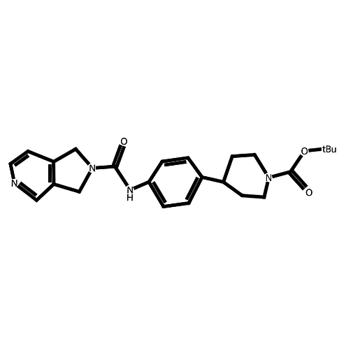 CC(C)(C)OC(=O)N1CCC(c2ccc(NC(=O)N3Cc4ccncc4C3)cc2)CC1